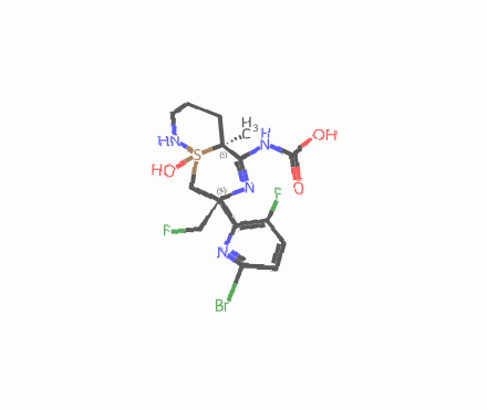 C[C@@]12CCCNS1(O)C[C@@](CF)(c1nc(Br)ccc1F)N=C2NC(=O)O